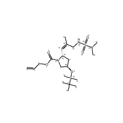 C=CCOC(=O)N1C[C@H](O[Si](C)(C)C(C)(C)C)C[C@H]1C=C(C)CNS(=O)(=O)N(C)C